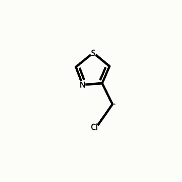 Cl[CH]c1cscn1